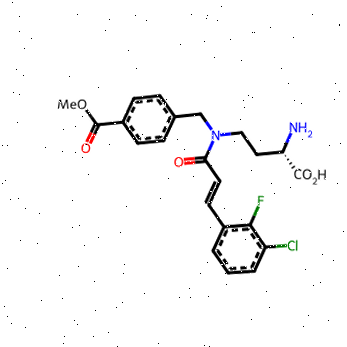 COC(=O)c1ccc(CN(CC[C@H](N)C(=O)O)C(=O)/C=C/c2cccc(Cl)c2F)cc1